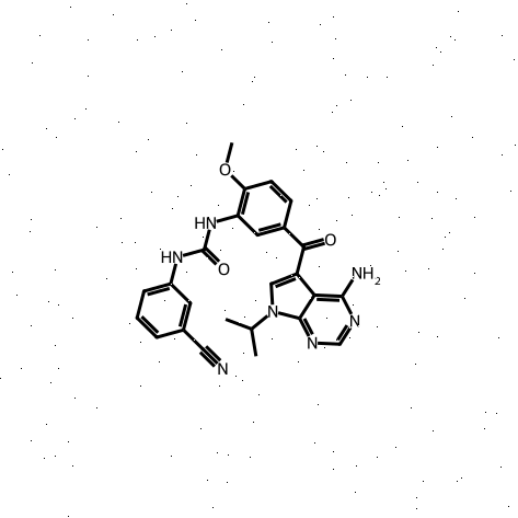 COc1ccc(C(=O)c2cn(C(C)C)c3ncnc(N)c23)cc1NC(=O)Nc1cccc(C#N)c1